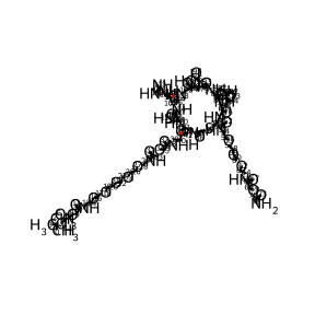 CC(C)(C)OC(=O)NOCC(=O)NCCOCCOCCOCCOCCOCCNC(=O)COCC(=O)NCCCC[C@@H]1NC(=O)CSC[C@@H](C(=O)NCCOCCOCCOCCNC(=O)COCC(N)=O)NC(=O)[C@H](Cc2ccccc2)NC(=O)[C@H](CS)NC(=O)[C@H](CC(=O)O)NC(=O)CNC(=O)[C@H](CCCNC(=N)N)NC(=O)[C@H](CS)NC1=O